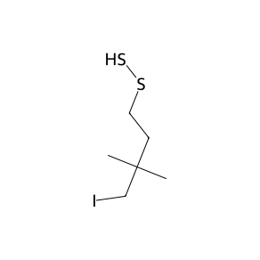 CC(C)(CI)CCSS